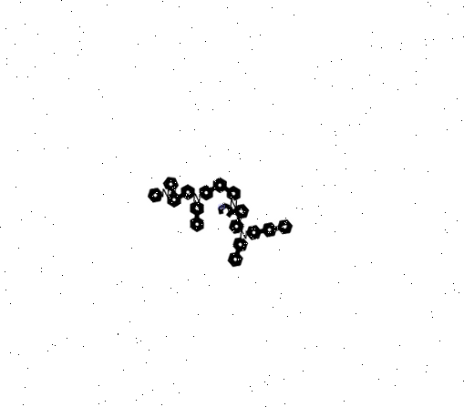 C/C=C\c1c(C)c2c(-c3cccc(N(c4ccc(-c5ccccc5)cc4)c4ccc(-c5ccc(C6=C=C=CC=C6)cc5)cc4)c3)cccc2n1-c1cccc(-c2cccc(-c3ccc(N(c4ccc(-c5ccccc5)cc4)c4cccc(-c5cccc6c5c5ccccc5n6-c5ccccc5)c4)cc3)c2)c1